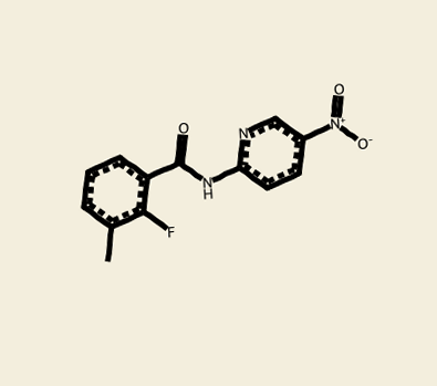 Cc1cccc(C(=O)Nc2ccc([N+](=O)[O-])cn2)c1F